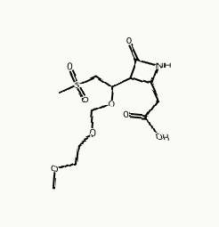 COCCOCOC(CS(C)(=O)=O)C1C(=O)NC1CC(=O)O